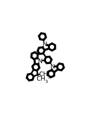 CC1(C)c2ccccc2-c2cc3c4ccccc4n(-c4cc(-n5c6ccccc6c6ccccc65)ccc4-c4cccc5c4c4ccccc4n5-c4ccccc4)c3cc21